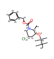 C[C@H]1[C@@H](O[Si](C)(C)C(C)(C)C)C[C@H](Cl)CN1C(=O)OCc1ccccc1